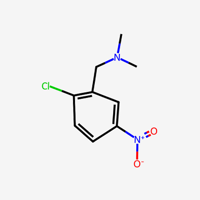 CN(C)Cc1cc([N+](=O)[O-])ccc1Cl